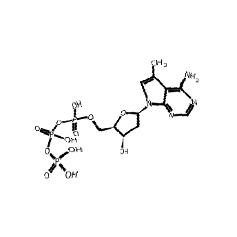 Cc1cn([C@H]2C[C@@H](O)[C@@H](COP(=O)(O)OP(=O)(O)OP(=O)(O)O)O2)c2ncnc(N)c12